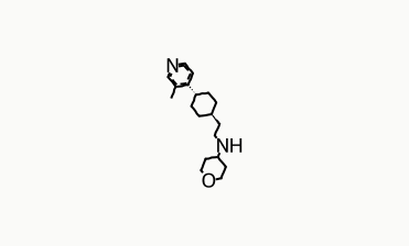 Cc1cnccc1[C@H]1CC[C@H](CCNC2CCOCC2)CC1